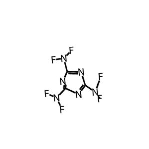 FN(F)c1nc(N(F)F)nc(N(F)F)n1